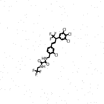 O=C(NCc1ccc(/C=C/C(c2cc(Cl)c(Cl)c(Cl)c2)C(F)(F)F)cc1Cl)C(=O)NCC(F)(F)F